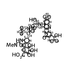 CNCC(=O)Nc1cc(COC(=O)N(CCS(C)(=O)=O)COCC(CO)(CO)NCc2c3c(nc4cc5c(cc24)OCO5)-c2cc4c(c(=O)n2C3)COC(=O)[C@H]4O)ccc1O[C@@H]1O[C@H](C(=O)O)[C@@H](O)[C@H](O)[C@H]1O